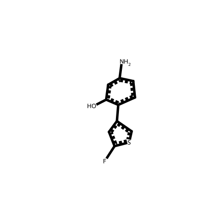 Nc1ccc(-c2csc(F)c2)c(O)c1